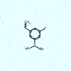 C=Cc1cc(F)cc(N(CCC)C(C)CC)c1